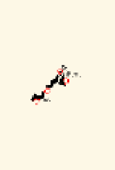 CCCCC[Si](CCCCCOCC(CC)C1CCO1)(OCC)C1CCO1